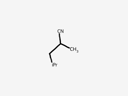 CC(C)CC(C)C#N